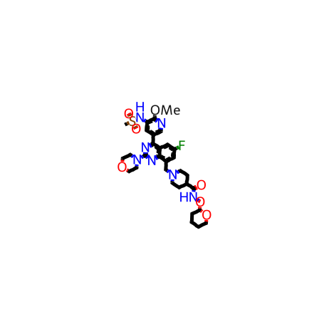 COc1ncc(-c2nc(N3CCOCC3)nc3c(CN4CCC(C(=O)NOC5CCCCO5)CC4)cc(F)cc23)cc1NS(C)(=O)=O